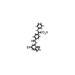 CCc1cc(CNc2ccc(C(Cc3ccccc3)C(=O)O)cc2)n2nccc2n1